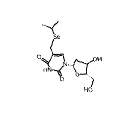 CC(C)[Se]Cc1cn([C@@H]2CC(O)[C@H](CO)O2)c(=O)[nH]c1=O